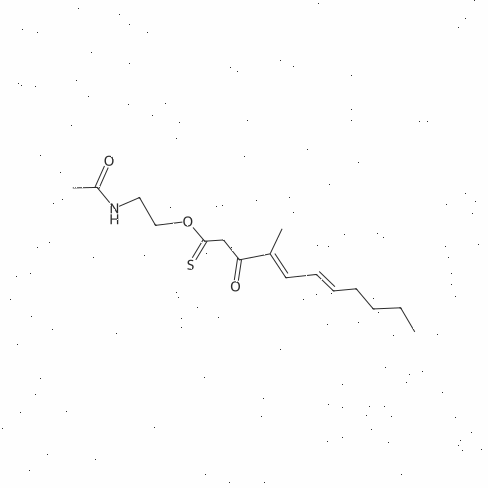 CCCC/C=C/C=C(\C)C(=O)CC(=S)OCCNC(C)=O